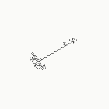 C[C@]12CCC(=O)C[C@@H]1CC[C@@H]1[C@@H]2[C@@H](OCCCCCCCCCCCCC[S+]([O-])CCCC(F)(F)C(F)(F)F)C[C@]2(C)[C@@H](O)CC[C@@H]12